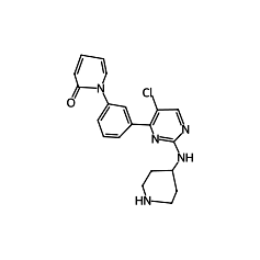 O=c1ccccn1-c1cccc(-c2nc(NC3CCNCC3)ncc2Cl)c1